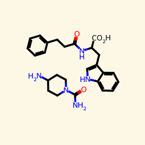 NC(=O)N1CCC(N)CC1.O=C(CCc1ccccc1)NC(Cc1c[nH]c2ccccc12)C(=O)O